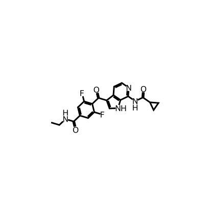 CCNC(=O)c1cc(F)c(C(=O)c2c[nH]c3c(NC(=O)C4CC4)nccc23)c(F)c1